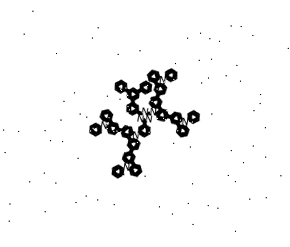 c1ccc(-c2cc(-c3ccccc3)cc(-c3cccc(-c4nc(-c5cccc(-n6c7ccc(-c8ccc9c(c8)c8ccccc8n9-c8ccccc8)cc7c7cc(-c8ccc9c(c8)c8ccccc8n9-c8ccccc8)ccc76)c5)nc(-n5c6ccc(-c7ccc8c(c7)c7ccccc7n8-c7ccccc7)cc6c6cc(-c7ccc8c(c7)c7ccccc7n8-c7ccccc7)ccc65)n4)c3)c2)cc1